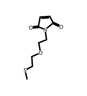 CSCCOCCN1C(=O)C=CC1=O